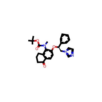 CN(C(=O)OC(C)(C)C)c1c(O[C@H](Cn2ccnc2)c2ccccc2)ccc2c1CCCC2=O